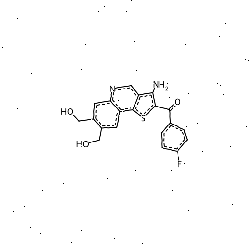 Nc1c(C(=O)c2ccc(F)cc2)sc2c1cnc1cc(CO)c(CO)cc12